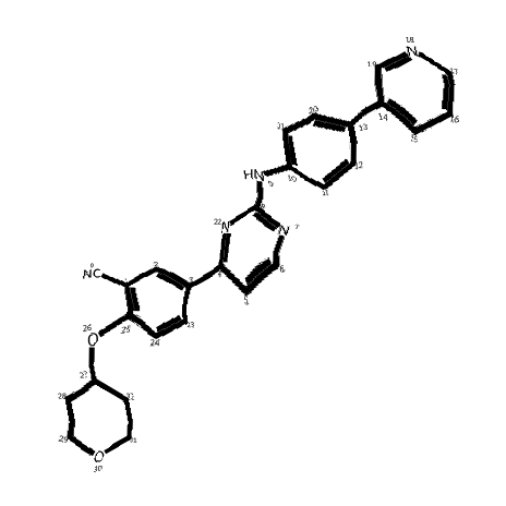 N#Cc1cc(-c2ccnc(Nc3ccc(-c4cccnc4)cc3)n2)ccc1OC1CCOCC1